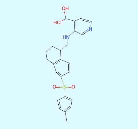 Cc1ccc(S(=O)(=O)c2ccc3c(c2)CCC[C@@H]3CNc2cnccc2C(O)O)cc1